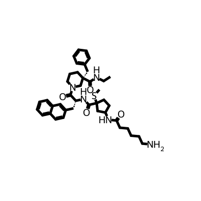 CCNC(=O)[C@]1(Cc2ccccc2)CCCN(C(=O)[C@@H](Cc2ccc3ccccc3c2)NC(=O)C2(SC)CCC(NC(=O)CCCCCN)C2)C1